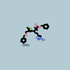 CCn1cc(CCC(c2cc(COCc3ccc(OC)cc3)c(C)s2)C(C)(C)C(=O)OCc2ccccc2)nn1